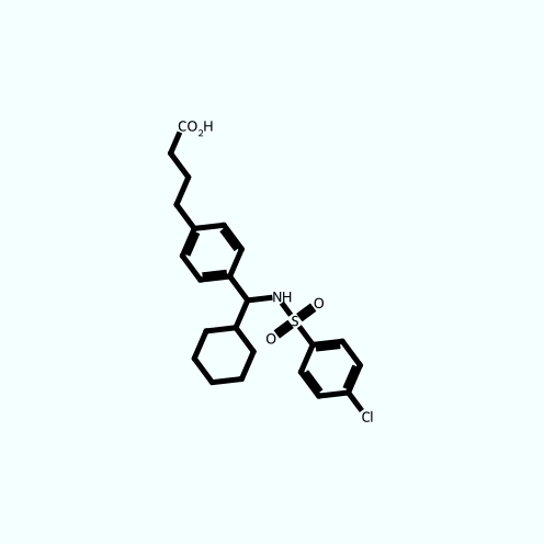 O=C(O)CCCc1ccc(C(NS(=O)(=O)c2ccc(Cl)cc2)C2CCCCC2)cc1